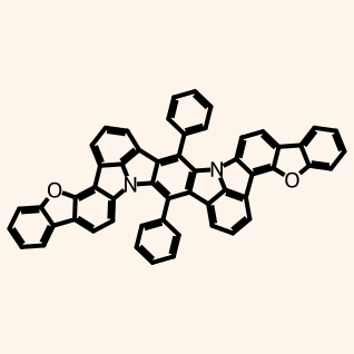 c1ccc(-c2c3c4cccc5c6c7oc8ccccc8c7ccc6n(c3c(-c3ccccc3)c3c6cccc7c8c9oc%10ccccc%10c9ccc8n(c23)c67)c45)cc1